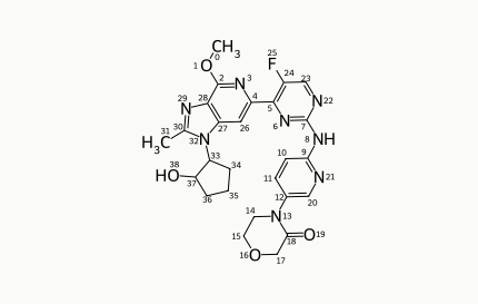 COc1nc(-c2nc(Nc3ccc(N4CCOCC4=O)cn3)ncc2F)cc2c1nc(C)n2C1CCCC1O